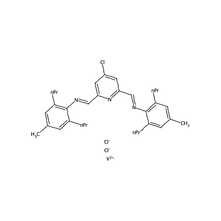 CCCc1cc(C)cc(CCC)c1N=Cc1cc(Cl)cc(C=Nc2c(CCC)cc(C)cc2CCC)n1.[Cl-].[Cl-].[V+2]